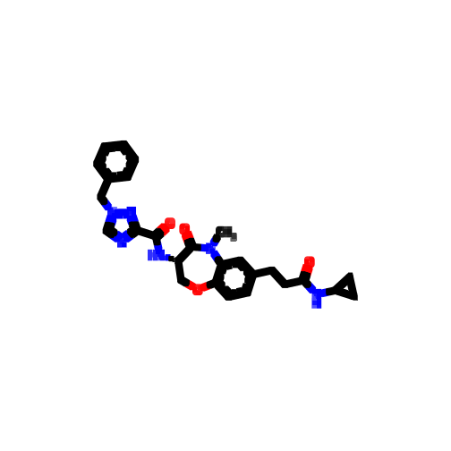 CN1C(=O)[C@@H](NC(=O)c2ncn(Cc3ccccc3)n2)COc2ccc(CCC(=O)NC3CC3)cc21